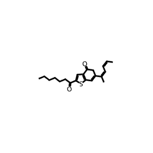 C/C=C\C=C(\C)C1=Cc2sc(C(=O)CCCCCC)cc2C(=O)C1